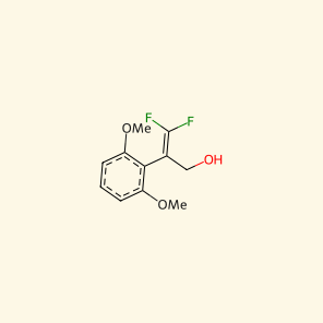 COc1cccc(OC)c1C(CO)=C(F)F